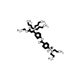 CCC[CH2][Sn]([CH2]CCC)([CH2]CCC)/[C](=C\C(=O)OCC)c1ccc(OC(=O)c2ccc(S(=O)(=O)N(CCC)CCC)cc2)cc1